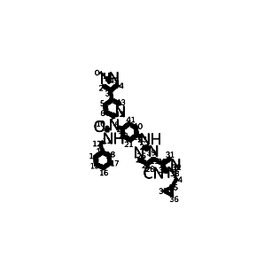 Cn1cc(-c2ccc(N(C(=O)NCc3ccccc3)c3ccc(Nc4ncc(C#N)c(-c5cnn(CC6CC6)c5)n4)cc3)nc2)cn1